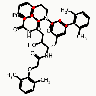 Cc1cccc(C)c1OCC(=O)N[C@@H](Cc1ccccc1)C(O)C[C@H](Cc1ccccc1)NC(=O)C(C(C)C)N1CCCN(C(=O)COc2c(C)cccc2C)C1=O